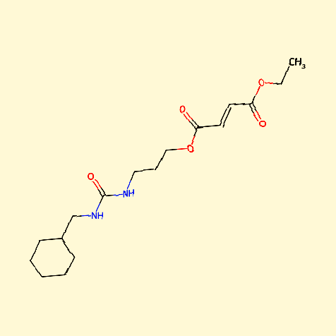 CCOC(=O)/C=C/C(=O)OCCCNC(=O)NCC1CCCCC1